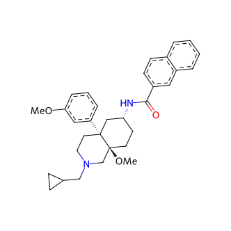 COc1cccc([C@@]23CCN(CC4CC4)C[C@@]2(OC)CC[C@@H](NC(=O)c2ccc4ccccc4c2)C3)c1